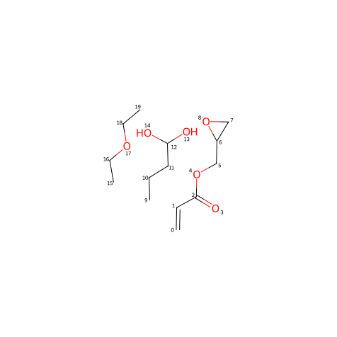 C=CC(=O)OCC1CO1.CCCC(O)O.CCOCC